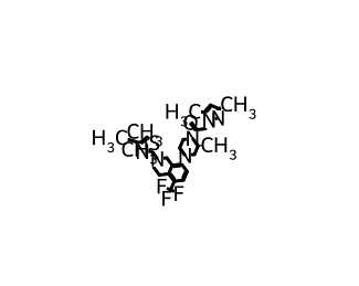 Cc1cc(C)n(CC(=O)N2CCN(c3ccc(C(F)(F)F)c4c3CN(c3nc(C(C)(C)C)cs3)CC4)C[C@H]2C)n1